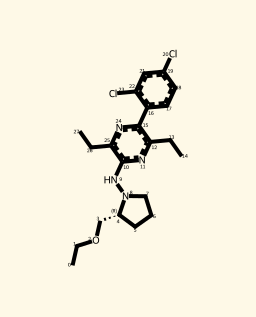 CCOC[C@H]1CCCN1Nc1nc(CC)c(-c2ccc(Cl)cc2Cl)nc1CC